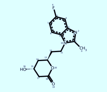 Cc1nc2cc(F)ccc2n1CC[C@@H]1C[C@@H](O)CC(=O)O1